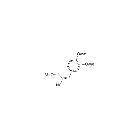 COCC(C#N)=Cc1ccc(OC)c(OC)c1